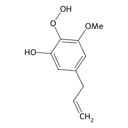 C=CCc1cc(O)c(OO)c(OC)c1